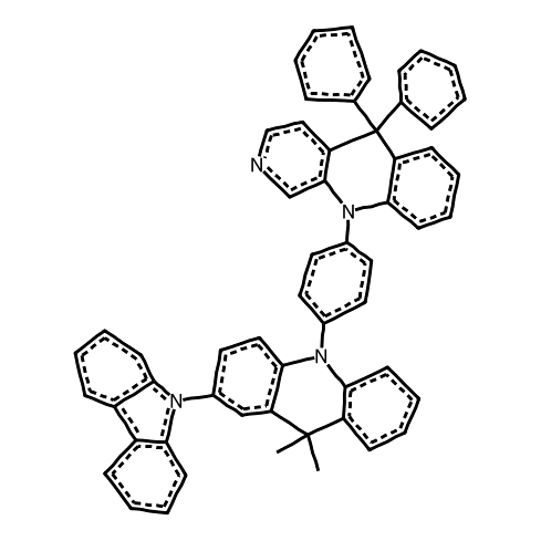 CC1(C)c2ccccc2N(c2ccc(N3c4ccccc4C(c4ccccc4)(c4ccccc4)c4ccncc43)cc2)c2ccc(-n3c4ccccc4c4ccccc43)cc21